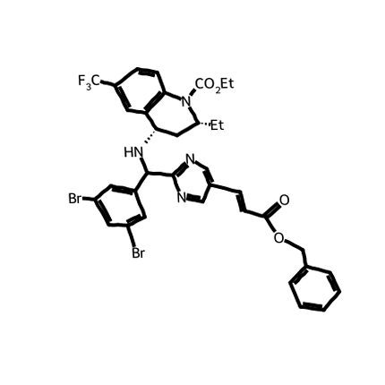 CCOC(=O)N1c2ccc(C(F)(F)F)cc2[C@@H](NC(c2cc(Br)cc(Br)c2)c2ncc(C=CC(=O)OCc3ccccc3)cn2)C[C@H]1CC